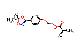 C=C(C)C(=O)OCCOc1ccc(C2=NOC(C)(C)O2)cc1